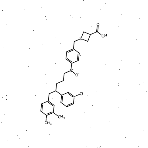 Cc1ccc(CC(CCC[S+]([O-])c2ccc(CN3CC(C(=O)O)C3)cc2)c2cccc(Cl)c2)cc1C